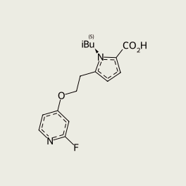 CC[C@H](C)n1c(CCOc2ccnc(F)c2)ccc1C(=O)O